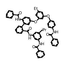 CCc1cc(Oc2ccc(NC(=O)c3ccccc3)cc2)cc(Oc2ccc(NC(=O)c3ccccc3)c(-c3ccccc3C(=O)Nc3cc(NC(=O)c4ccccc4)cc(C(C)C)c3)c2)c1